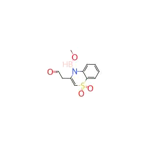 COBN1C(CC=O)=CS(=O)(=O)c2ccccc21